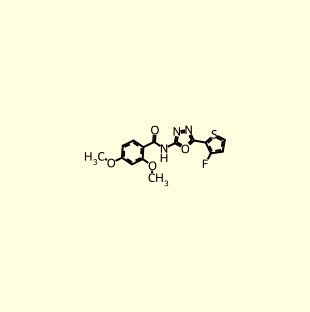 COc1ccc(C(=O)Nc2nnc(-c3sccc3F)o2)c(OC)c1